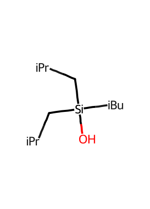 CCC(C)[Si](O)(CC(C)C)CC(C)C